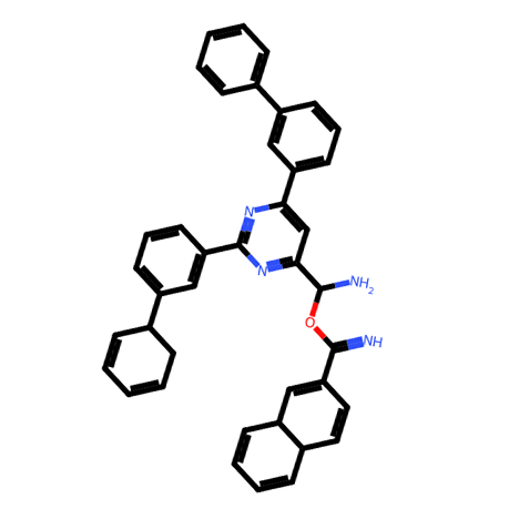 N=C(OC(N)c1cc(-c2cccc(-c3ccccc3)c2)nc(-c2cccc(C3C=CC=CC3)c2)n1)C1=CC2C=CC=CC2C=C1